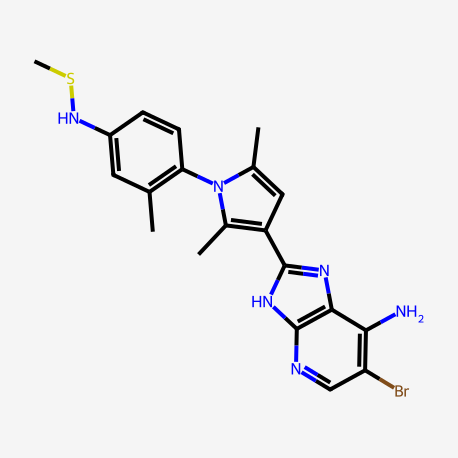 CSNc1ccc(-n2c(C)cc(-c3nc4c(N)c(Br)cnc4[nH]3)c2C)c(C)c1